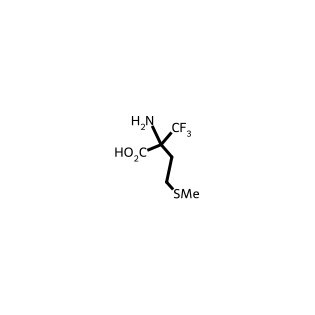 CSCCC(N)(C(=O)O)C(F)(F)F